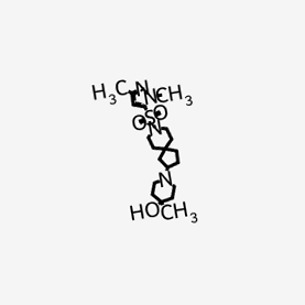 Cc1cc(S(=O)(=O)N2CCC3(CCC(N4CCC(C)(O)CC4)C3)CC2)n(C)n1